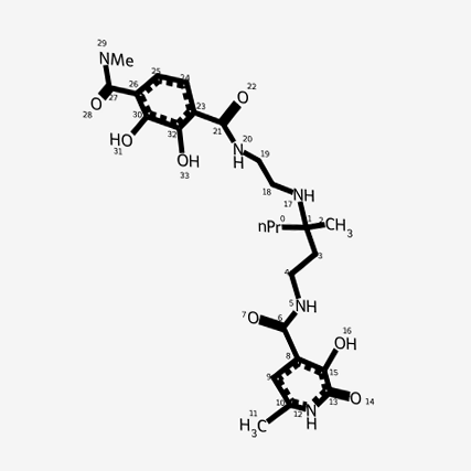 CCCC(C)(CCNC(=O)c1cc(C)[nH]c(=O)c1O)NCCNC(=O)c1ccc(C(=O)NC)c(O)c1O